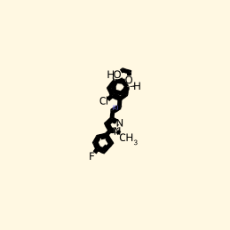 Cn1nc(/C=C/C2=C(Cl)C[C@@H]3CC[C@H](C2)C32OCCO2)cc1-c1ccc(F)cc1